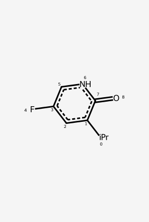 CC(C)c1cc(F)c[nH]c1=O